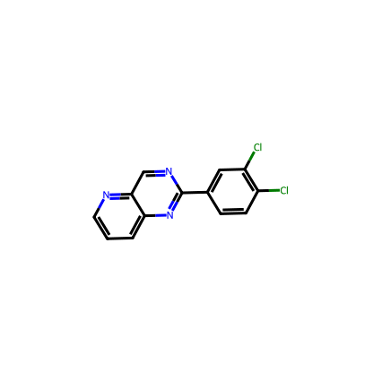 Clc1ccc(-c2ncc3ncccc3n2)cc1Cl